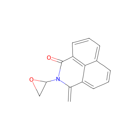 C=c1c2cccc3cccc(c(=O)n1C1CO1)c32